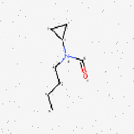 CCCCN(C=O)C1CC1